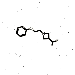 FC(F)C1CN(CCOc2ccccc2)C1